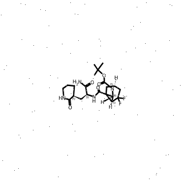 CC(C)(C)OC(=O)N1[C@H]2CC[C@@H]([C@@H]1C(=O)N[C@@H](C[C@@H]1CCCNC1=O)C(N)=O)C(F)(F)C2